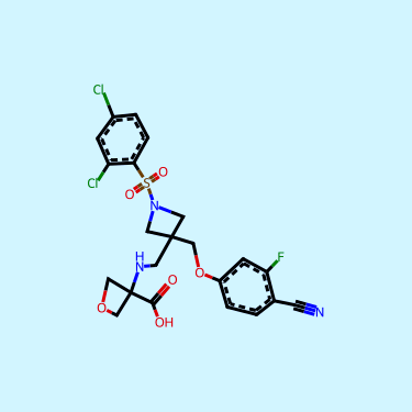 N#Cc1ccc(OCC2(CNC3(C(=O)O)COC3)CN(S(=O)(=O)c3ccc(Cl)cc3Cl)C2)cc1F